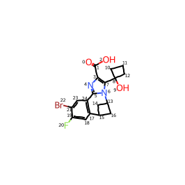 O=C(O)c1nc2n(c1C1(O)CCC1)C1CC(C1)c1cc(F)c(Br)cc1-2